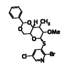 COC1C(C)[C@H]2OC(c3ccccc3)OCC2O[C@@H]1Sc1cc(Cl)cnc1Br